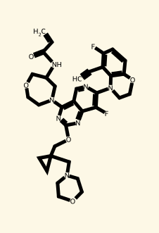 C#Cc1c(F)ccc2c1N(c1ncc3c(N4CCOCC(NC(=O)C=C)C4)nc(OCC4(CN5CCOCC5)CC4)nc3c1F)CCO2